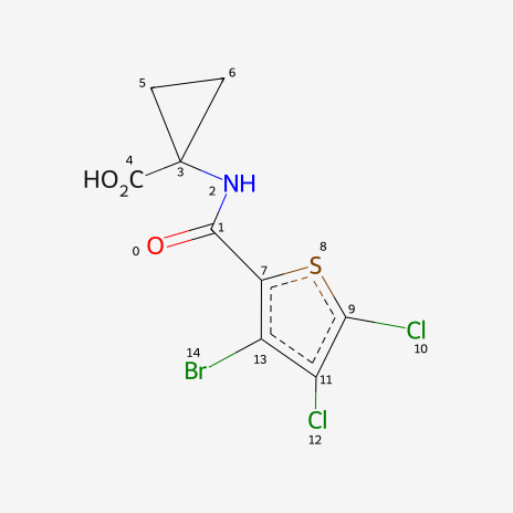 O=C(NC1(C(=O)O)CC1)c1sc(Cl)c(Cl)c1Br